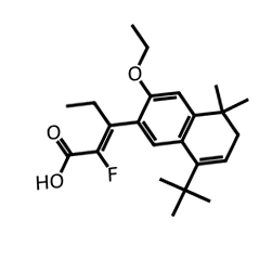 CCOc1cc2c(cc1C(CC)=C(F)C(=O)O)C(C(C)(C)C)=CCC2(C)C